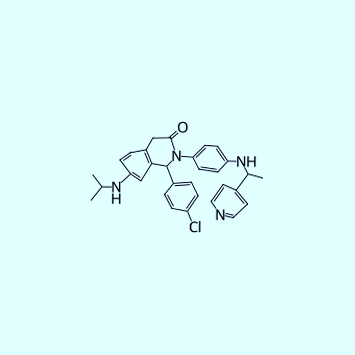 CC(C)Nc1ccc2c(c1)C(c1ccc(Cl)cc1)N(c1ccc(NC(C)c3ccncc3)cc1)C(=O)C2